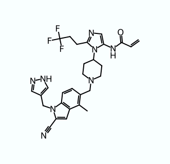 C=CC(=O)Nc1cnc(CCC(F)(F)F)n1C1CCN(Cc2ccc3c(cc(C#N)n3Cc3cn[nH]c3)c2C)CC1